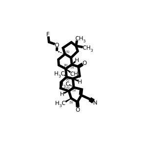 C[C@@H]1C(=O)C(C#N)=C[C@]2(C)[C@H]3CC(=O)[C@H]4C5CC(C)(C)CC[C@]5(COCF)CC[C@@]4(C)[C@]3(C)CC[C@@H]12